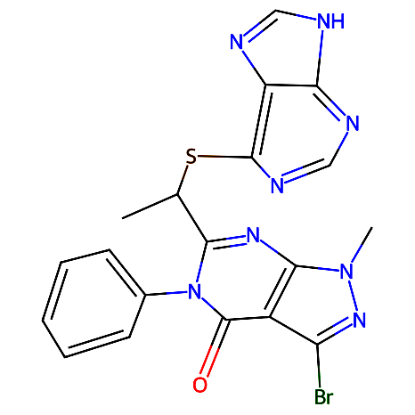 CC(Sc1ncnc2[nH]cnc12)c1nc2c(c(Br)nn2C)c(=O)n1-c1ccccc1